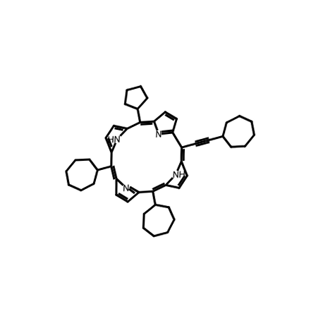 C(#CC1CCCCCC1)c1c2nc(c(C3CCCC3)c3ccc([nH]3)c(C3CCCCCC3)c3nc(c(C4CCCCCC4)c4ccc1[nH]4)C=C3)C=C2